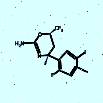 Cc1cc(F)c([C@]2(C)C[C@@H](C(F)(F)F)OC(N)=N2)cc1I